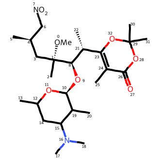 CO[C@](C)(C[C@@H](C)C[N+](=O)[O-])[C@H](O[C@@H]1OC(C)CC(N(C)C)C1C)[C@H](C)C1=C(C)C(=O)OC(C)(C)O1